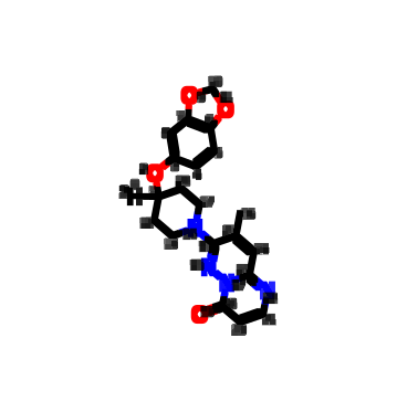 [2H]C1(Oc2ccc3c(c2)OCO3)CCN(c2nn3c(=O)ccnc3cc2C)CC1